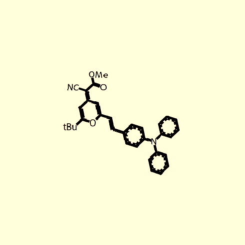 COC(=O)/C(C#N)=C1C=C(/C=C/c2ccc(N(c3ccccc3)c3ccccc3)cc2)OC(C(C)(C)C)=C\1